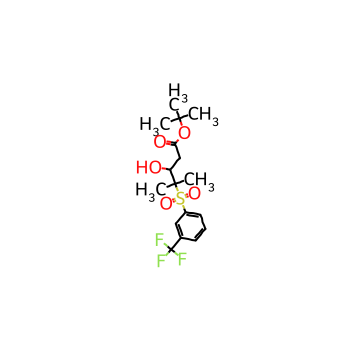 CC(C)(C)OC(=O)CC(O)C(C)(C)S(=O)(=O)c1cccc(C(F)(F)F)c1